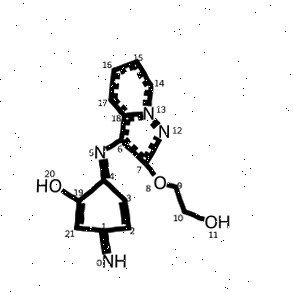 N=C1C=C/C(=N\c2c(OCCO)nn3ccccc23)C(O)=C1